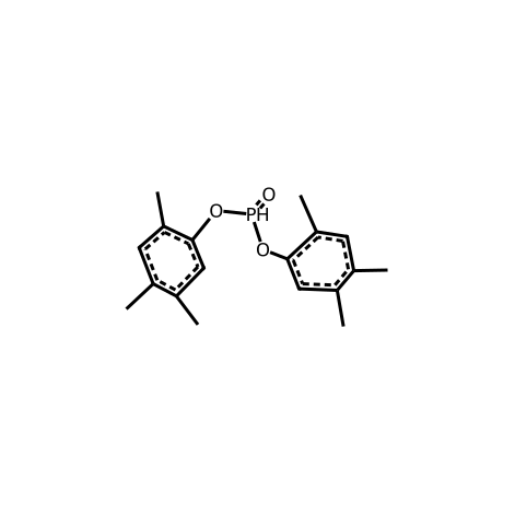 Cc1cc(C)c(O[PH](=O)Oc2cc(C)c(C)cc2C)cc1C